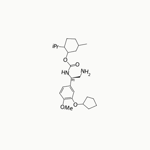 COc1ccc([C@H](CN)NC(=O)OC2CC(C)CCC2C(C)C)cc1OC1CCCC1